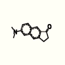 CN(C)c1ccc2cc3c(cc2c1)CCC3=O